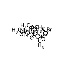 CNC(=O)c1ccc(-n2c(-n3nc(C)cc3C)nc3c(c2=O)CC(C)N(C(=O)c2ccc(Br)c(C)c2)C3)cn1